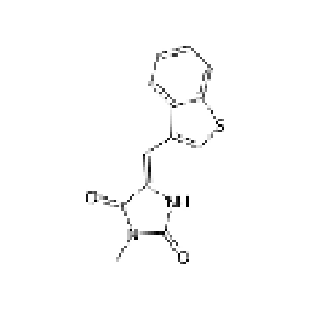 CN1C(=O)NC(=Cc2csc3ccccc23)C1=O